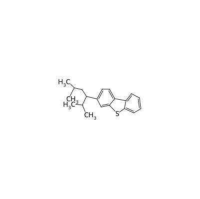 CC(C)CC(c1ccc2c(c1)sc1ccccc12)C(C)C